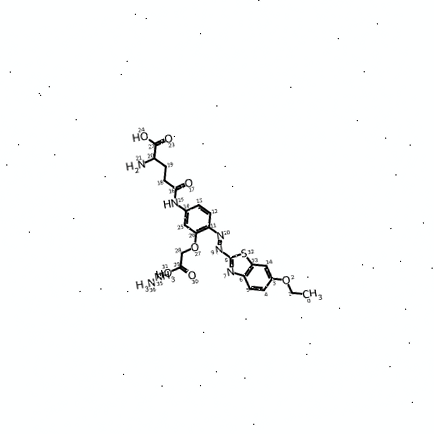 CCOc1ccc2nc(N=Nc3ccc(NC(=O)CCC(N)C(=O)O)cc3OCC(=O)O)sc2c1.N.N